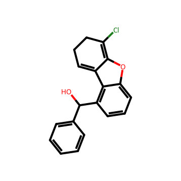 OC(c1ccccc1)c1cccc2oc3c(c12)=CCCC=3Cl